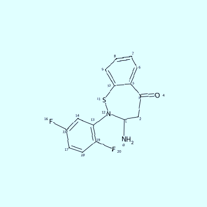 NC1CC(=O)c2ccccc2SN1c1cc(F)ccc1F